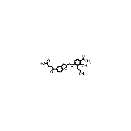 CCCc1c(OCC2Cc3cc(C(=O)CCC(=O)O)ccc3O2)ccc(C(C)=O)c1O